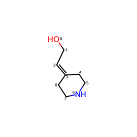 OCC=C1CCNCC1